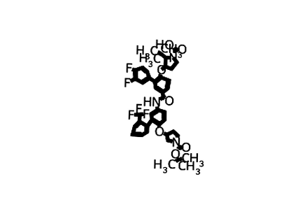 CC(C)(C)OC(=O)N1CCC(Oc2ccc(NC(=O)c3ccc(OC4CCN(C(=O)O)C4C(C)(C)C)c(-c4ccc(F)c(F)c4)c3)cc2-c2ccccc2C(F)(F)F)C1